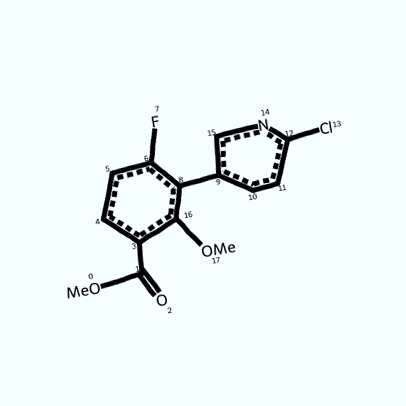 COC(=O)c1ccc(F)c(-c2ccc(Cl)nc2)c1OC